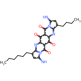 CCCCCCc1cc(=N)n2c(=O)c3c(=O)c4nc5c(CCCC)cc(=N)n5c(=O)c4c(=O)c3nc12